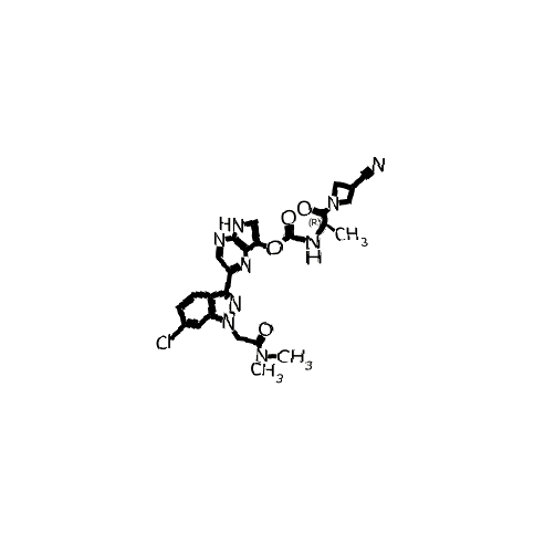 C[C@@H](NC(=O)Oc1c[nH]c2ncc(-c3nn(CC(=O)N(C)C)c4cc(Cl)ccc34)nc12)C(=O)N1CC(C#N)C1